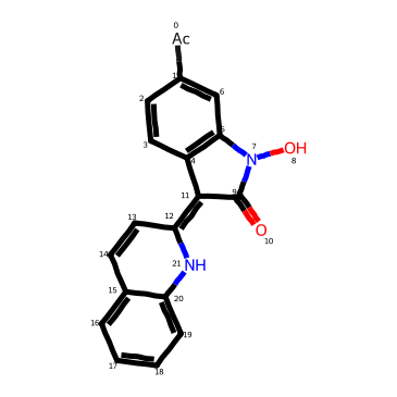 CC(=O)c1ccc2c(c1)N(O)C(=O)/C2=C1/C=Cc2ccccc2N1